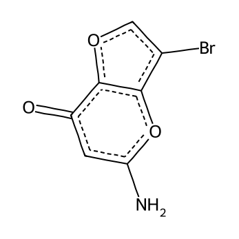 Nc1cc(=O)c2occ(Br)c2o1